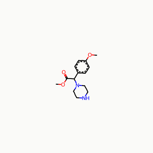 COC(=O)C(c1ccc(OC)cc1)N1CCNCC1